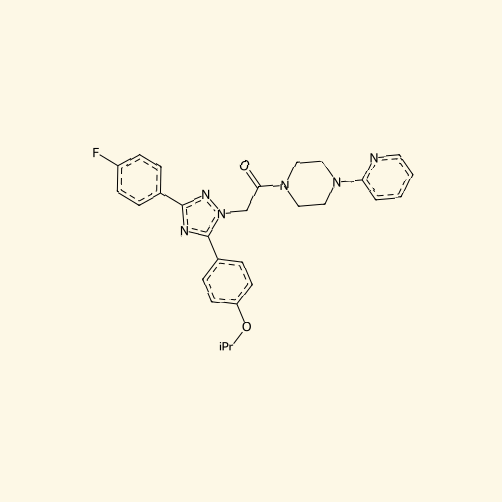 CC(C)Oc1ccc(-c2nc(-c3ccc(F)cc3)nn2CC(=O)N2CCN(c3ccccn3)CC2)cc1